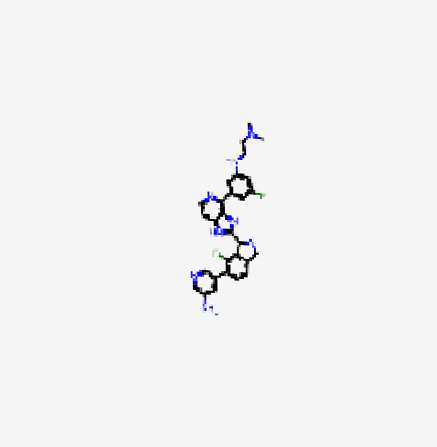 CN(C)CCNc1cc(F)cc(-c2nccc3[nH]c(C4=NCc5ccc(-c6cncc(N)c6)c(F)c54)nc23)c1